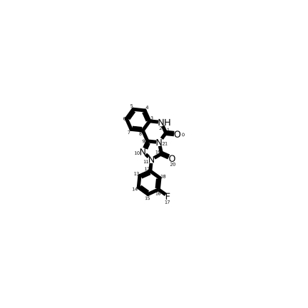 O=c1[nH]c2ccccc2c2nn(-c3cccc(F)c3)c(=O)n12